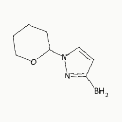 Bc1ccn(C2CCCCO2)n1